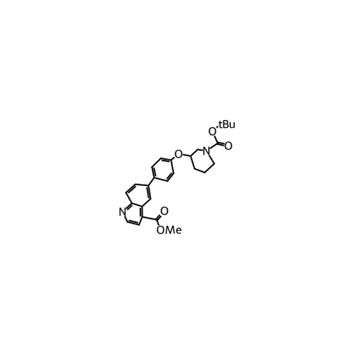 COC(=O)c1ccnc2ccc(-c3ccc(OC4CCCN(C(=O)OC(C)(C)C)C4)cc3)cc12